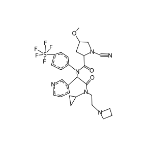 COC1CC(C(=O)N(c2ccc(S(F)(F)(F)(F)F)cc2)C(C(=O)N(CCN2CCC2)C2CC2)c2cccnc2)N(C#N)C1